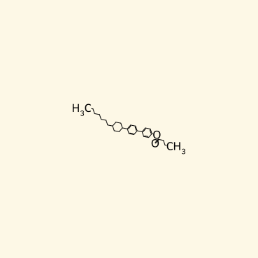 CCCCCCCC1CCC(c2ccc(-c3ccc(OC(=O)CCC)cc3)cc2)CC1